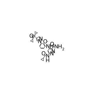 COc1c(Nc2cc(NC(=O)C3CC3)nnc2C(N)=O)cccc1-n1cc(P(=O)(C2CC2)C2CC2)cn1